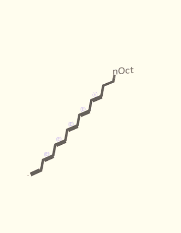 [CH]=C/C=C/C=C/C=C/C=C/C=C/CCCCCCCCCC